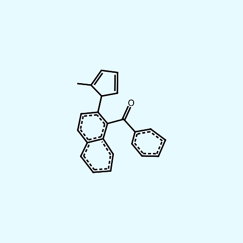 CC1=CC=CC1c1ccc2ccccc2c1C(=O)c1ccccc1